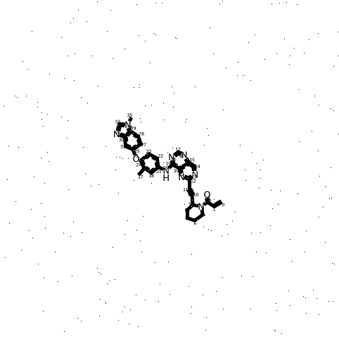 C=CC(=O)N1CCCCC1C#Cc1ncc2ncnc(Nc3ccc(Oc4ccc5c(c4)ncn5C)c(C)c3)c2n1